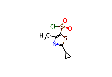 Cc1nc(C2CC2)sc1S(=O)(=O)Cl